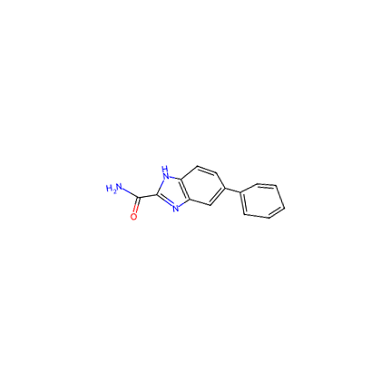 NC(=O)c1nc2cc(-c3ccccc3)ccc2[nH]1